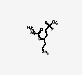 CCCC(CCC(C)(F)F)OC(=O)NC